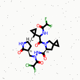 CC1(C(NC(=O)C(F)F)C(=O)N2CC3(CC3)C[C@H]2C(=O)NN(C[C@@H]2CCNC2=O)C(=O)C(F)Cl)CC1